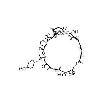 C/C1=C\[C@@H](C)C(=O)C[C@@H]([C@H](C)C[C@H]2CC[C@H](O)CC2)OC(=O)C2CCCN2C(=O)C(=O)[C@]2(O)O[C@@H](CC[C@H]2C)C[C@H](O)/C(C)=C/C=C/C=C/[C@@H](C)CCC(=O)[C@H](O)[C@@H]1O